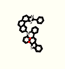 c1ccc(-c2nc3ccc4ccc5ccc(N(c6ccccc6)c6ccccc6-c6ccc7sc8ccccc8c7c6)cc5c4c3s2)cc1